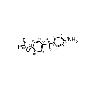 CC(C)(c1ccc(N)cc1)c1ccc(OC(F)F)cc1